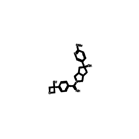 COc1ccc(C2(O)CC3CN(C(=N)c4ccc(C5(O)COC5)cc4)CC3C2)cn1